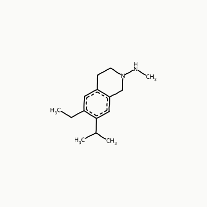 CCc1cc2c(cc1C(C)C)CN(NC)CC2